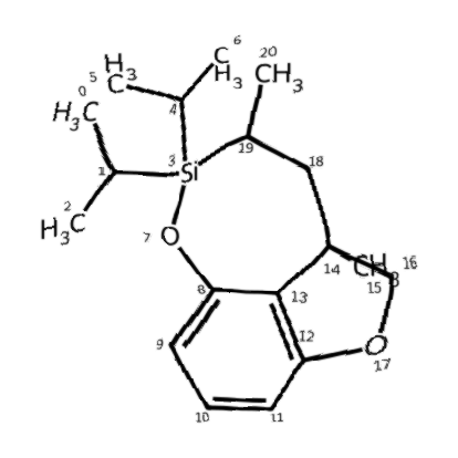 CC(C)[Si]1(C(C)C)Oc2cccc3c2C(C)(CO3)CC1C